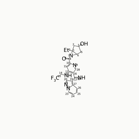 CCC12CC(O)CC1N2C(=O)c1cc(NCC(F)(F)F)c(C(=N)c2cnn3ccccc23)cn1